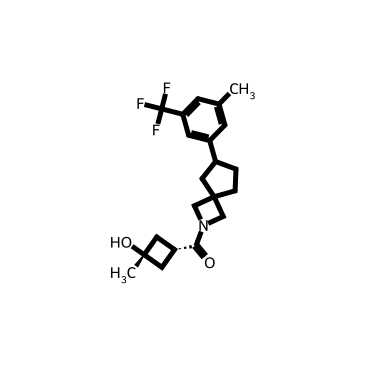 Cc1cc(C2CCC3(C2)CN(C(=O)[C@H]2C[C@@](C)(O)C2)C3)cc(C(F)(F)F)c1